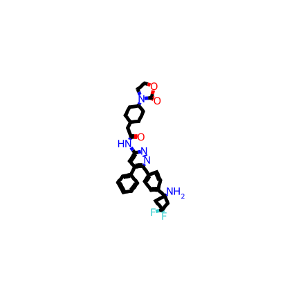 NC1(c2ccc(-c3nnc(NC(=O)CC4CCC(N5CCOC5=O)CC4)cc3-c3ccccc3)cc2)CC(F)(F)C1